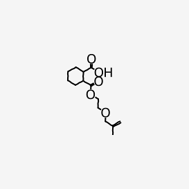 C=C(C)COCCOC(=O)C1CCCCC1C(=O)O